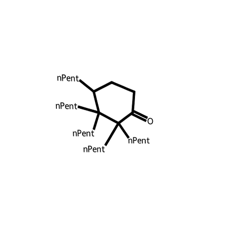 CCCCCC1CCC(=O)C(CCCCC)(CCCCC)C1(CCCCC)CCCCC